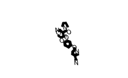 CCC(Oc1ccc(Oc2ccc(C#N)cn2)cc1)C(=O)C(C#N)C(=O)N1CCCC1